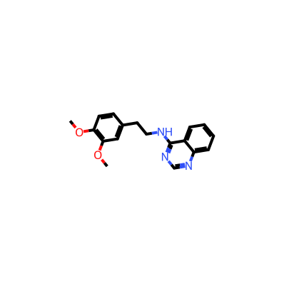 COc1ccc(CCNc2ncnc3ccccc23)cc1OC